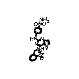 Cn1ccc2nc(Nc3ccc(S(N)(=O)=O)cc3)nc(NCc3ccccc3S(C)(=O)=O)c21